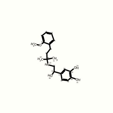 COc1ccccc1CCC(C)(C)NCC(O)c1ccc(O)c(O)c1